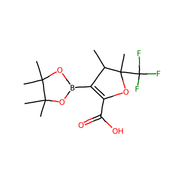 CC1C(B2OC(C)(C)C(C)(C)O2)=C(C(=O)O)OC1(C)C(F)(F)F